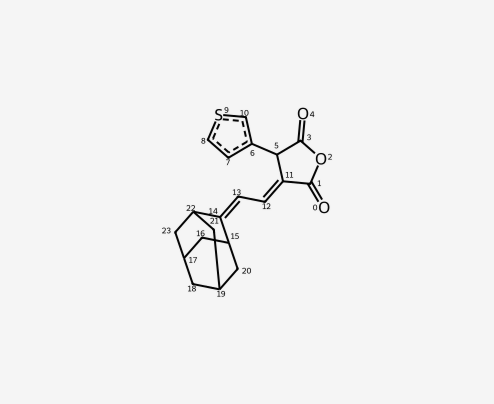 O=C1OC(=O)C(c2ccsc2)C1=CC=C1C2CC3CC(C2)CC1C3